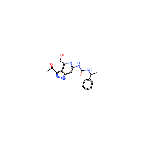 CC(=O)c1n[nH]c2cc(NC(=O)NC(C)c3ccccc3)nc(CO)c12